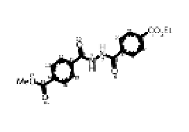 CCOC(=O)c1ccc(C(=O)NNC(=O)c2ccc(C(=O)OC)cc2)cc1